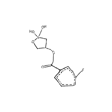 O=C(OC1COS(O)(O)C1)c1cccc(F)c1